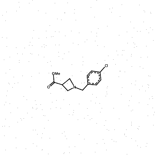 COC(=O)C1CN(Cc2ccc(Cl)cc2)C1